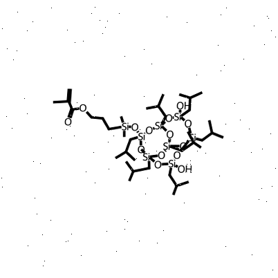 C=C(C)C(=O)OCCC[Si](C)(C)O[Si]1(CC(C)C)O[Si]2(CC(C)C)O[Si](O)(CC(C)C)O[Si]3(CC(C)C)O[Si](O)(CC(C)C)O[Si](CC(C)C)(O1)O[Si](CC(C)C)(O3)O2